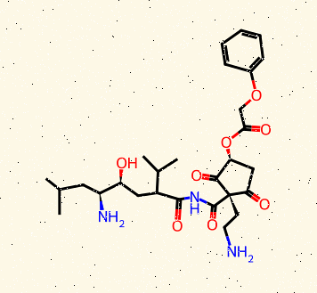 CC(C)C[C@H](N)[C@@H](O)CC(C(=O)NC(=O)[C@@]1(CCN)C(=O)C[C@H](OC(=O)COc2ccccc2)C1=O)C(C)C